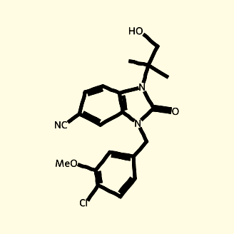 COc1cc(Cn2c(=O)n(C(C)(C)CO)c3ccc(C#N)cc32)ccc1Cl